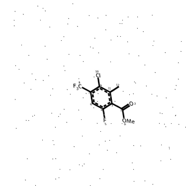 COC(=O)c1c(F)cc(C(F)(F)F)c(Cl)c1C